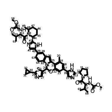 COC(=O)N[C@H](C(=O)N1CCC[C@H]1c1ncc(-c2cc(C)c3c(c2)OC(c2cnc(C4CC4)s2)n2c-3cc3cc(-c4cnc([C@@H]5CCCC(C)N5C(=O)[C@@H](NC(=O)OC)C(C)C)[nH]4)ccc32)[nH]1)C(C)C